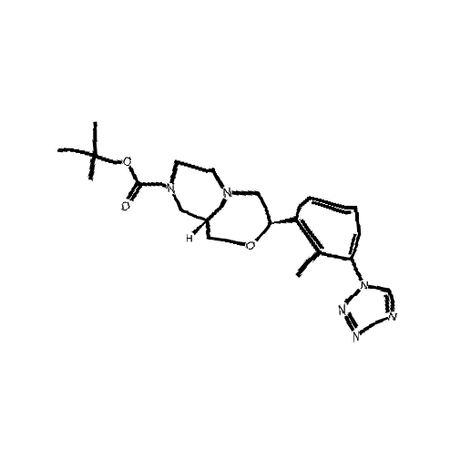 Cc1c([C@@H]2CN3CCN(C(=O)OC(C)(C)C)C[C@H]3CO2)cccc1-n1cnnn1